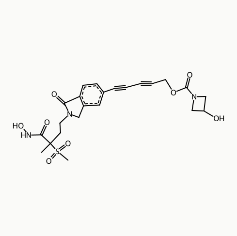 CC(CCN1Cc2cc(C#CC#CCOC(=O)N3CC(O)C3)ccc2C1=O)(C(=O)NO)S(C)(=O)=O